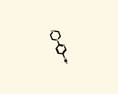 N#[N+]c1ccc(N2CCNCC2)nc1